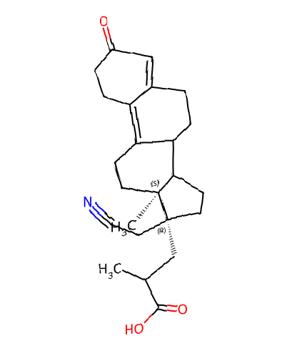 CC(C[C@@]1(CC#N)CCC2C3CCC4=CC(=O)CCC4=C3CC[C@@]21C)C(=O)O